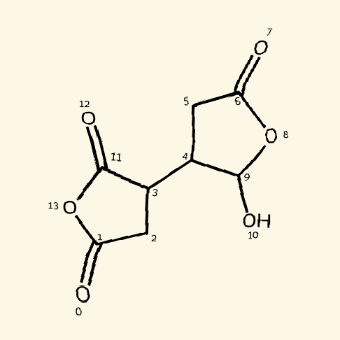 O=C1CC(C2CC(=O)OC2O)C(=O)O1